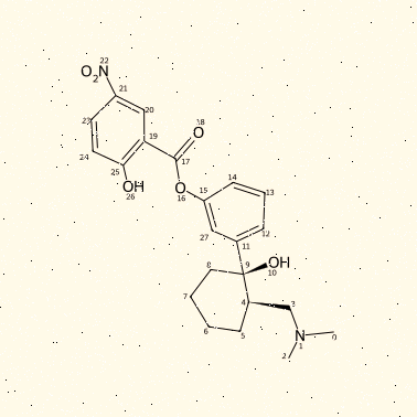 CN(C)C[C@H]1CCCC[C@]1(O)c1cccc(OC(=O)c2cc([N+](=O)[O-])ccc2O)c1